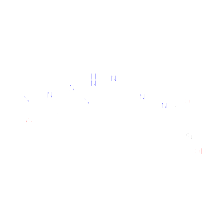 CN(C)C(=O)c1cc2cnc(Nc3ccc(N4CCN(C(=O)CC[Si](C)(C)O)CC4)cn3)nc2n1C1CCCC1